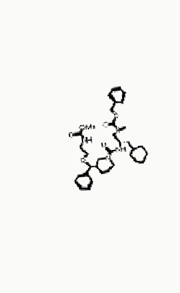 COC(=O)NCCOC(c1ccccc1)[C@@H]1CCCN(C(=O)N[C@@H](CC2CCCCC2)CN(C)C(=O)OCc2ccccc2)C1